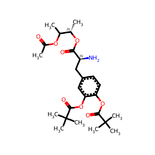 CC(=O)OC(C)[C@H](C)OC(=O)[C@@H](N)Cc1ccc(OC(=O)C(C)(C)C)c(OC(=O)C(C)(C)C)c1